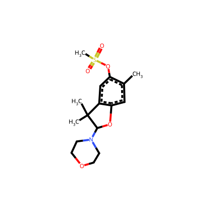 Cc1cc2c(cc1OS(C)(=O)=O)C(C)(C)C(N1CCOCC1)O2